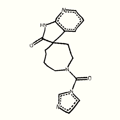 O=C(N1CCCC2(CC1)C(=O)Nc1ncccc12)n1ccnc1